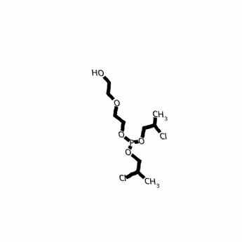 CC(Cl)COP(OCCOCCO)OCC(C)Cl